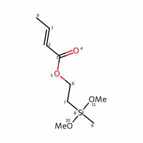 CC=CC(=O)OCC[Si](C)(OC)OC